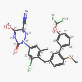 CSc1ccc(Cc2c(C)cc(-n3nc(C#N)c(O)nc3=O)cc2Cl)cc1-c1cccc(OC(F)F)c1